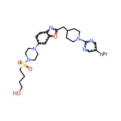 CCCc1cnc(N2CCC(Cc3nc4ccc(N5CCN(S(=O)(=O)CCCCO)CC5)cc4o3)CC2)nc1